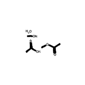 CC(=O)O.CO.COC(C)=O.O